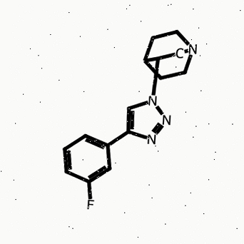 Fc1cccc(-c2cn(C3CN4CCC3CC4)nn2)c1